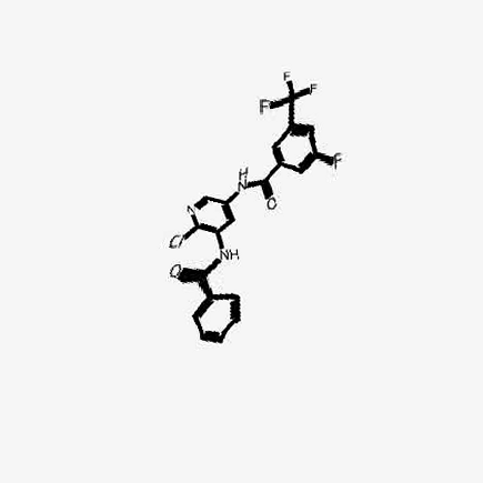 O=C(Nc1cnc(Cl)c(NC(=O)c2ccccc2)c1)c1cc(F)cc(C(F)(F)F)c1